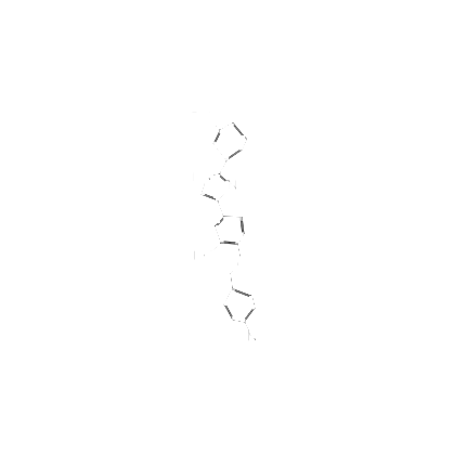 [C-]#[N+]c1ccc(COc2ccc(-c3c[nH]c(-c4cccc(C(F)(F)F)c4)n3)cc2C)cc1